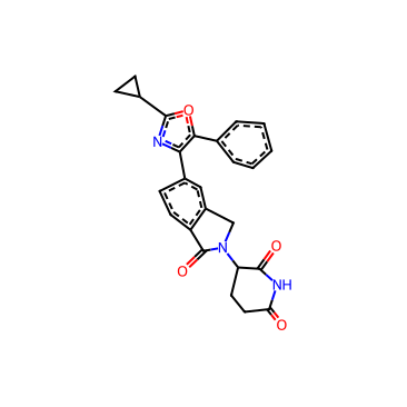 O=C1CCC(N2Cc3cc(-c4nc(C5CC5)oc4-c4ccccc4)ccc3C2=O)C(=O)N1